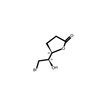 O=C1CC[C@H]([C@@H](O)CBr)O1